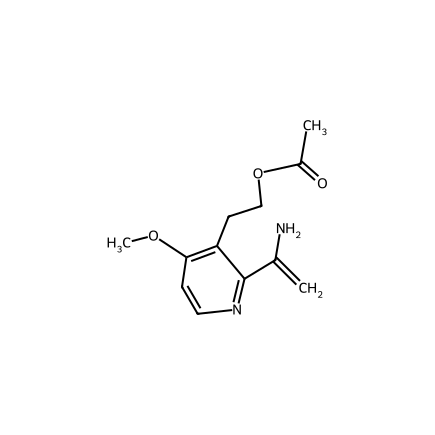 C=C(N)c1nccc(OC)c1CCOC(C)=O